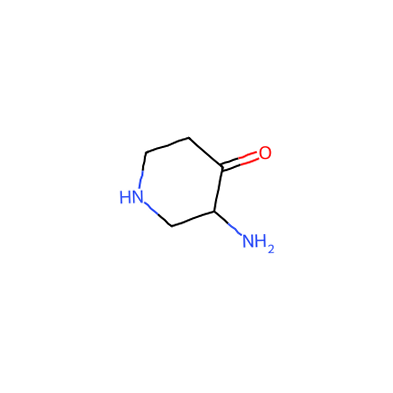 NC1CNCCC1=O